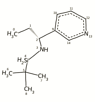 CC[C@@H](N[SiH2]C(C)(C)C)c1cccnc1